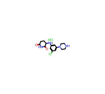 Cl.O=C1CCC(Nc2cc(Cl)cc(N3CCNCC3)c2)C(=O)N1